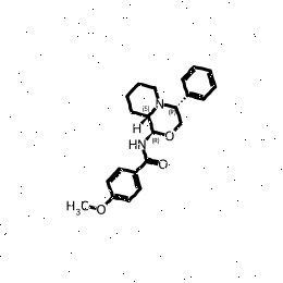 COc1ccc(C(=O)N[C@@H]2OC[C@@H](c3ccccc3)N3CCCC[C@@H]23)cc1